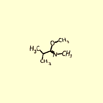 C/N=C(\OC)C(C)C